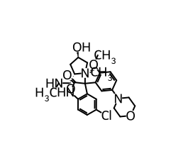 CNC(=O)[C@@H]1C[C@@H](O)C[N+]1(C)C1(c2cc(N3CCOCC3)ccc2OC)C(=O)Nc2ccc(Cl)cc21